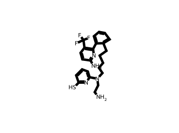 NCCN(CCCCCc1ccccc1-c1nc(N)ccc1C(F)(F)F)c1cccc(S)n1